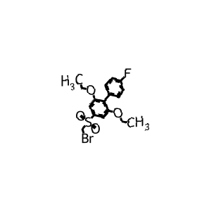 CCOc1cc(S(=O)(=O)CBr)cc(OCC)c1-c1ccc(F)cc1